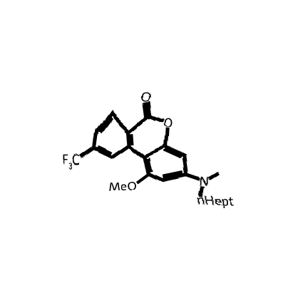 CCCCCCCN(C)c1cc(OC)c2c(c1)oc(=O)c1ccc(C(F)(F)F)cc12